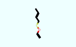 C=COSCC=CC